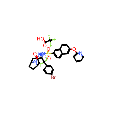 NC1CC2CCC(C1)N2C(=O)[C@@H](NS(=O)(=O)c1ccc2cc(Oc3ccccn3)ccc2c1)C(F)(F)c1ccc(Br)cc1.O=C(O)C(F)(F)F